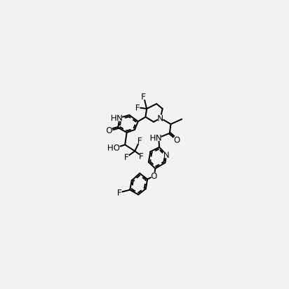 CC(C(=O)Nc1ccc(Oc2ccc(F)cc2)cn1)N1CCC(F)(F)C(c2c[nH]c(=O)c(C(O)C(F)(F)F)c2)C1